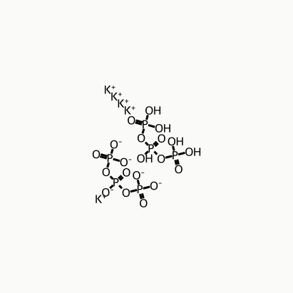 O=P(O)(O)OP(=O)(O)OP(=O)(O)O.O=P([O-])([O-])OP(=O)([O-])OP(=O)([O-])[O-].[K+].[K+].[K+].[K+].[K+]